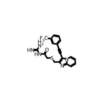 N=C(N)NC(=O)CSCc1nc2ccccn2c1C#Cc1cccc(C(F)(F)F)c1